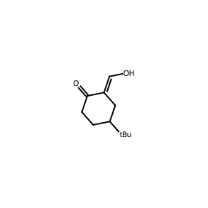 CC(C)(C)C1CCC(=O)C(=CO)C1